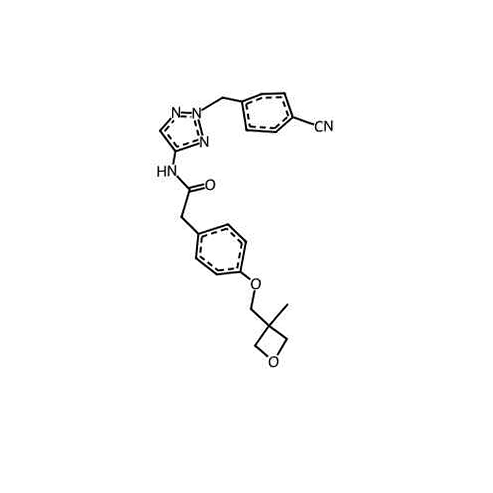 CC1(COc2ccc(CC(=O)Nc3cnn(Cc4ccc(C#N)cc4)n3)cc2)COC1